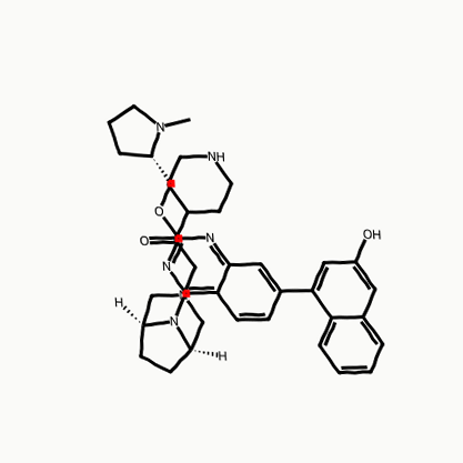 CN1CCC[C@H]1COc1nc(N2[C@@H]3CC[C@H]2CN(CC(=O)C2CCNCC2)C3)c2ccc(-c3cc(O)cc4ccccc34)cc2n1